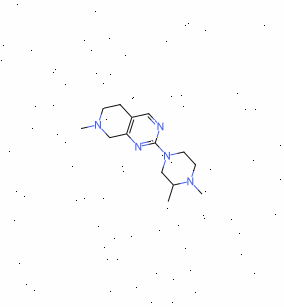 CC1CN(c2ncc3c(n2)CN(C)CC3)CCN1C